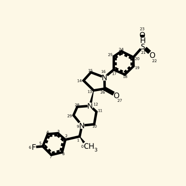 C[C@@H](c1ccc(F)cc1)N1CCN([C@H]2CCN(c3ccc([SH](=O)=O)cc3)C2=O)CC1